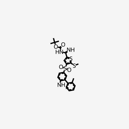 CSc1sc(C(=N)NC(=O)OC(C)(C)C)cc1S(=O)(=O)c1ccc(N)c(-c2ccccc2C)c1